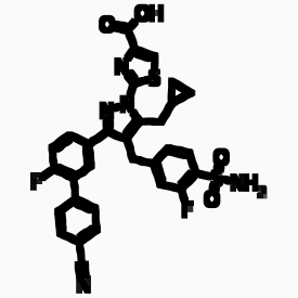 N#Cc1ccc(-c2cc(-c3nn(-c4nc(C(=O)O)cs4)c(CC4CC4)c3Cc3ccc(S(N)(=O)=O)c(F)c3)ccc2F)cc1